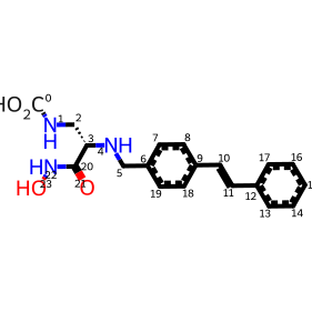 O=C(O)NC[C@H](NCc1ccc(C=Cc2ccccc2)cc1)C(=O)NO